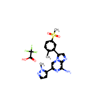 Cc1ccc(S(C)(=O)=O)cc1-c1cnc2c(N)nc(-c3ccnn3C)cn12.O=C(O)C(F)(F)F